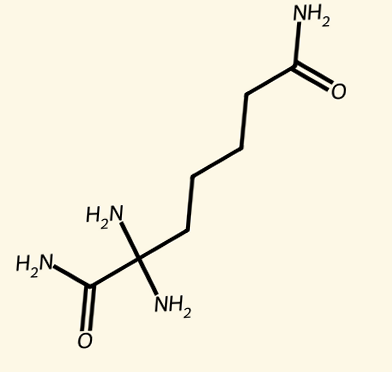 NC(=O)CCCCC(N)(N)C(N)=O